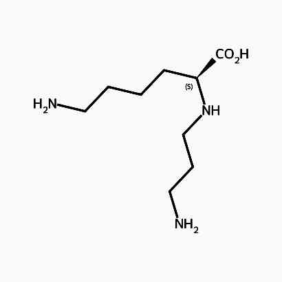 NCCCC[C@H](NCCCN)C(=O)O